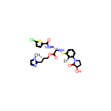 CCc1c(SN[C@@H](CNC(=O)c2ccc(Cl)s2)C(=O)OCCCc2nccn2C)cccc1N1CCC(O)C1=O